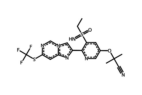 CCS(=N)(=O)c1cc(OC(C)(C)C#N)cnc1-c1cn2cnc(SC(F)(F)F)cc2n1